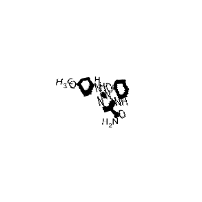 CO[C@H]1CC[C@H](Nc2ncc(C(N)=O)c(N[C@@H]3CCCC[C@H]3O)n2)CC1